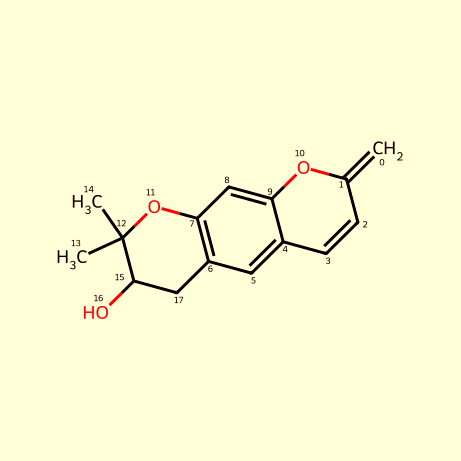 C=C1C=Cc2cc3c(cc2O1)OC(C)(C)C(O)C3